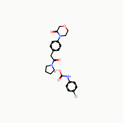 O=C(Nc1ccc(Cl)cc1)O[C@@H]1CCCN1C(=O)Cc1ccc(N2CCOCC2=O)cc1